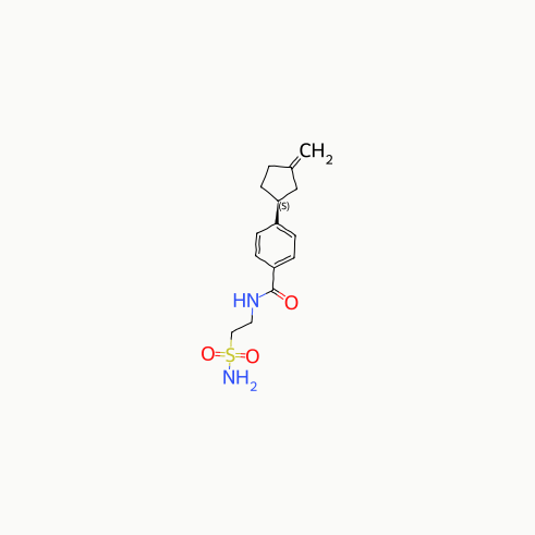 C=C1CC[C@H](c2ccc(C(=O)NCCS(N)(=O)=O)cc2)C1